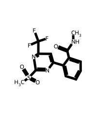 CNC(=O)c1ccccc1-c1cc(C(F)(F)F)nc(S(C)(=O)=O)n1